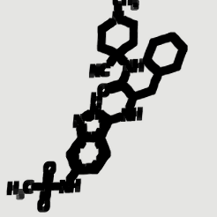 CN1CCC(C#N)(NC(=O)C(CC2CCCCC2)Nc2[nH]nc3cc(NS(C)(=O)=O)ccc23)CC1